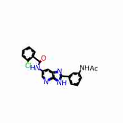 CC(=O)Nc1cccc(-c2nc3cc(NC(=O)c4ccccc4Cl)cnc3[nH]2)c1